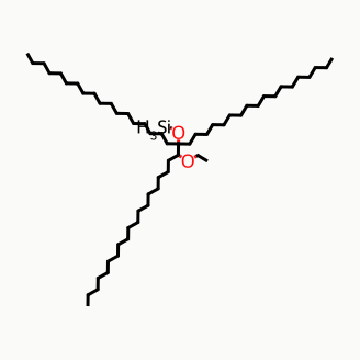 CCCCCCCCCCCCCCCCCCC(OCC)C(CCCCCCCCCCCCCCCCCC)(CCCCCCCCCCCCCCCCCC)O[SiH3]